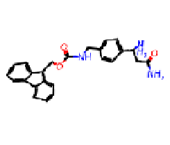 NC(=O)CC(N)c1ccc(CNC(=O)OCC2c3ccccc3-c3ccccc32)cc1